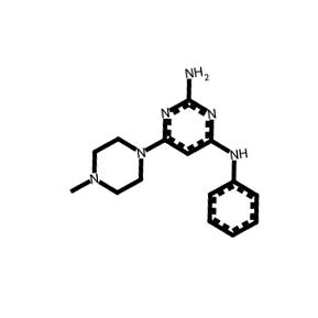 CN1CCN(c2cc(Nc3ccccc3)nc(N)n2)CC1